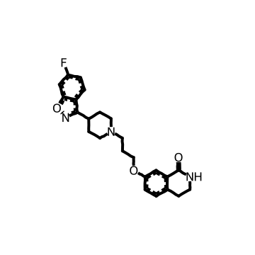 O=C1NCCc2ccc(OCCCN3CCC(c4noc5cc(F)ccc45)CC3)cc21